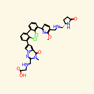 COc1nc(-c2cccc(-c3cccc(-c4cc5c(=O)n(C)c(CNCC(=O)O)nn5c4)c3Cl)c2Cl)ccc1CNC[C@@H]1CCC(=O)N1